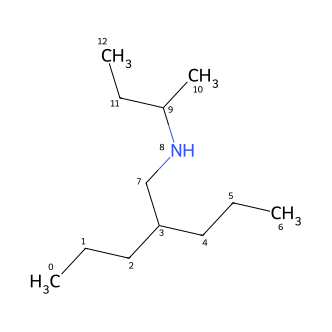 CCCC(CCC)CNC(C)CC